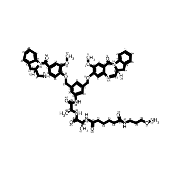 COc1cc2c(cc1OCc1cc(COc3cc4c(cc3OC)C(=O)N3c5ccccc5C[C@H]3CN4)cc(NC(=O)[C@H](C)NC(=O)[C@H](C)NC(=O)CCCCC(=O)NCCCON)c1)N=C[C@@H]1Cc3ccccc3N1C2=O